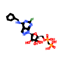 O=P(O)(O)CP(=O)(O)OC[C@H]1O[C@@H](n2ncc3c(NCc4ccccc4)nc(Cl)nc32)[C@H](O)C1(O)O